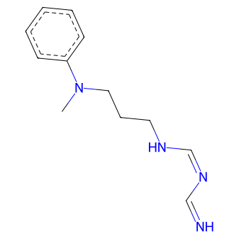 CN(CCCN/C=N\C=N)c1ccccc1